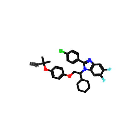 CCOC(=O)C(C)(C)Oc1ccc(OCC(C2CCCCC2)n2c(-c3ccc(Cl)cc3)nc3cc(F)c(F)cc32)cc1